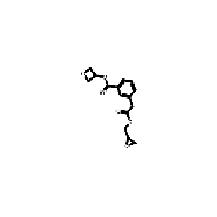 O=C(Cc1cccc(C(=O)OC2COC2)c1)OCC1CO1